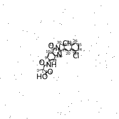 CC(C(=O)O)C(=O)Nc1ccc2c(=O)n3c(nc2c1)/C(=C/c1c(Cl)cccc1Cl)CC3